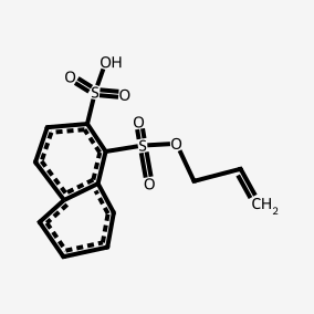 C=CCOS(=O)(=O)c1c(S(=O)(=O)O)ccc2ccccc12